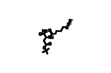 CC(C)(C)OC(=O)C[C@H](NC(=O)CCCCN=[N+]=[N-])C(=O)O